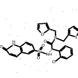 O=C([C@@H](NS(=O)(=O)c1ccc2[nH]c(=O)ccc2c1)c1ccccc1Cl)N(Cc1ccco1)Cc1cccs1